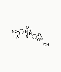 CC1(C)C(=O)N(c2ccc(C#N)c(C(F)(F)F)c2)C(=S)N1c1ccc2c(c1)OC[C@H](CCO)O2